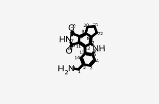 NCc1ccc2[nH]c3c4c(c5c(c3c2c1)C(=O)NC5=O)CCC4